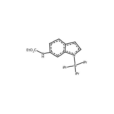 CCOC(=O)Nc1ccc2ccn([Si](C(C)C)(C(C)C)C(C)C)c2c1